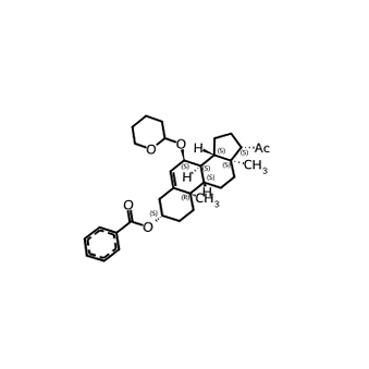 CC(=O)[C@H]1CC[C@H]2[C@@H]3[C@H](OC4CCCCO4)C=C4C[C@@H](OC(=O)c5ccccc5)CC[C@]4(C)[C@H]3CC[C@]12C